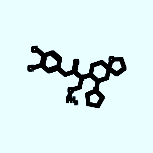 O=C(Cc1ccc(Cl)c(Cl)c1)N(COP)C1CCC2(CCCO2)CC1N1CCCC1